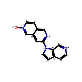 [O-][n+]1ccc2cnc(-n3ccc4ccncc43)cc2c1